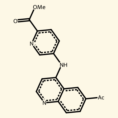 COC(=O)c1ccc(Nc2ccnc3ccc(C(C)=O)cc23)cn1